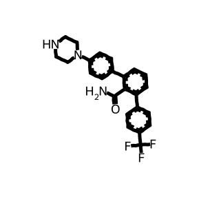 NC(=O)c1c(-c2ccc(N3CCNCC3)cc2)cccc1-c1ccc(C(F)(F)F)cc1